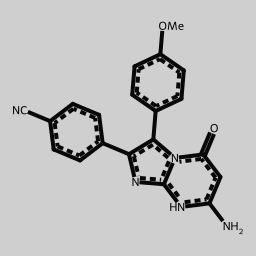 COc1ccc(-c2c(-c3ccc(C#N)cc3)nc3[nH]c(N)cc(=O)n23)cc1